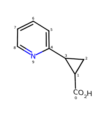 O=C(O)C1CC1c1ccccn1